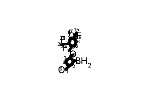 Bc1cc(C=O)ccc1OCc1ccc(C(C)(F)F)cc1C(C)(F)F